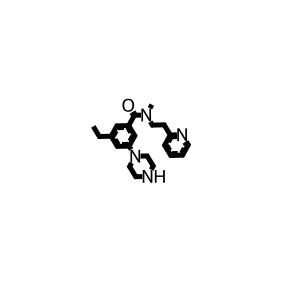 CCc1cc(C(=O)N(C)CCc2ccccn2)cc(N2CCNCC2)c1